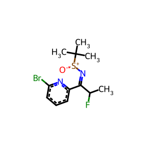 CC(F)/C(=N/[S@+]([O-])C(C)(C)C)c1cccc(Br)n1